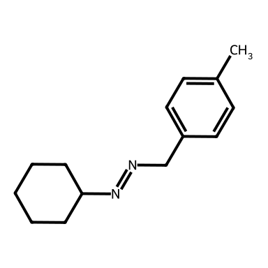 Cc1ccc(CN=NC2CCCCC2)cc1